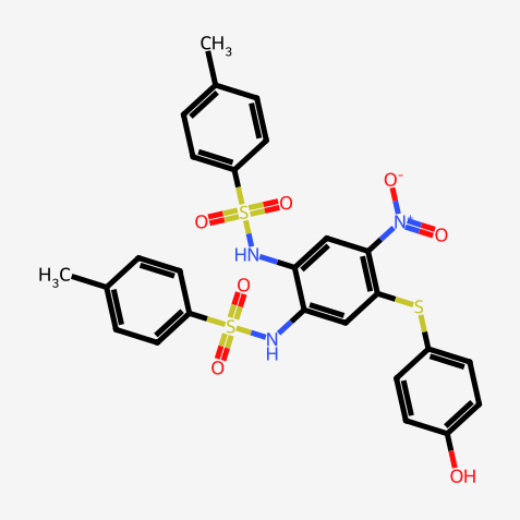 Cc1ccc(S(=O)(=O)Nc2cc(Sc3ccc(O)cc3)c([N+](=O)[O-])cc2NS(=O)(=O)c2ccc(C)cc2)cc1